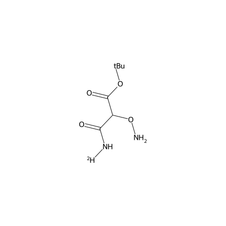 [2H]NC(=O)C(ON)C(=O)OC(C)(C)C